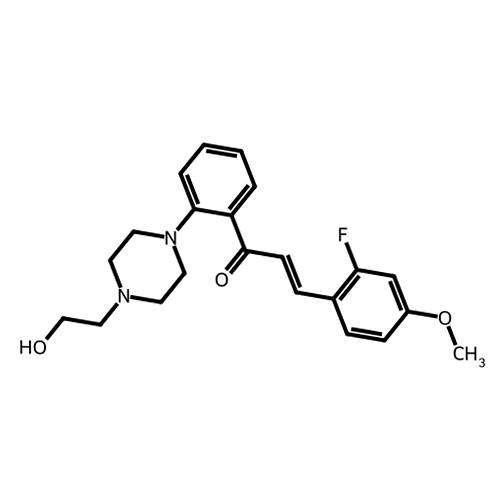 COc1ccc(C=CC(=O)c2ccccc2N2CCN(CCO)CC2)c(F)c1